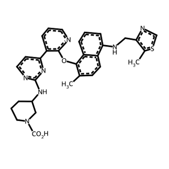 Cc1ccc2c(NCc3ncsc3C)cccc2c1Oc1ncccc1-c1ccnc(NC2CCCN(C(=O)O)C2)n1